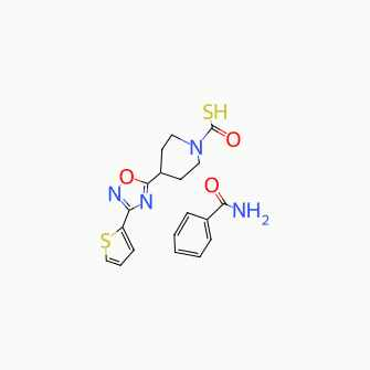 NC(=O)c1ccccc1.O=C(S)N1CCC(c2nc(-c3cccs3)no2)CC1